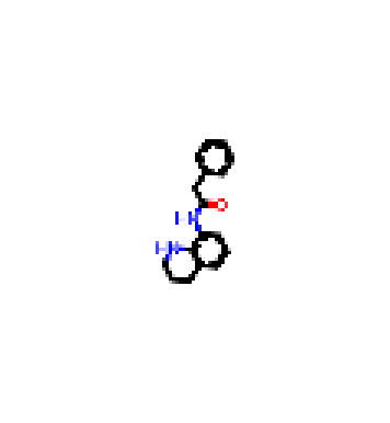 O=C(Cc1ccccc1)Nc1cccc2c1NCCC2